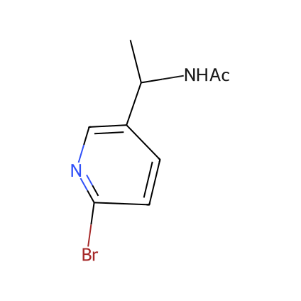 CC(=O)NC(C)c1ccc(Br)nc1